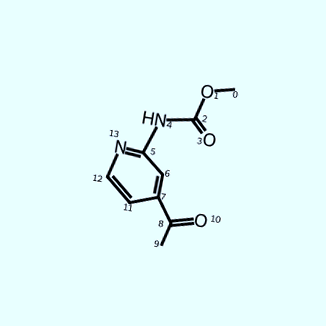 COC(=O)Nc1cc(C(C)=O)ccn1